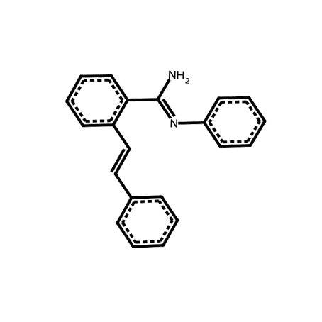 NC(=Nc1ccccc1)c1ccccc1C=Cc1ccccc1